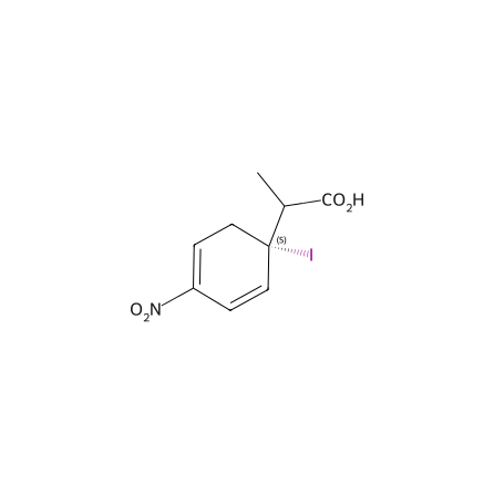 CC(C(=O)O)[C@@]1(I)C=CC([N+](=O)[O-])=CC1